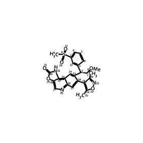 COC[C@H](c1cccc(S(C)(=O)=O)c1)c1cc2c(cc1-c1c(C)noc1C)ncc1oc(=O)[nH]c12